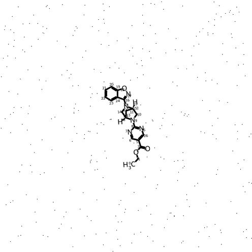 CCOC(=O)c1cnc(N2C[C@@H]3C[C@H]2CN3c2noc3ccccc23)nc1